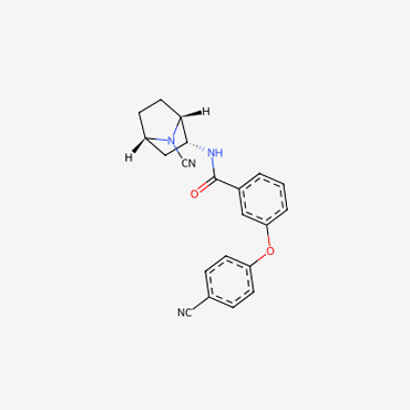 N#Cc1ccc(Oc2cccc(C(=O)N[C@@H]3C[C@@H]4CC[C@H]3N4C#N)c2)cc1